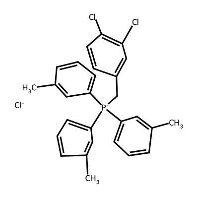 Cc1cccc([P+](Cc2ccc(Cl)c(Cl)c2)(c2cccc(C)c2)c2cccc(C)c2)c1.[Cl-]